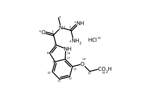 CN(C(=N)N)C(=O)c1cc2cccc(OCC(=O)O)c2[nH]1.Cl